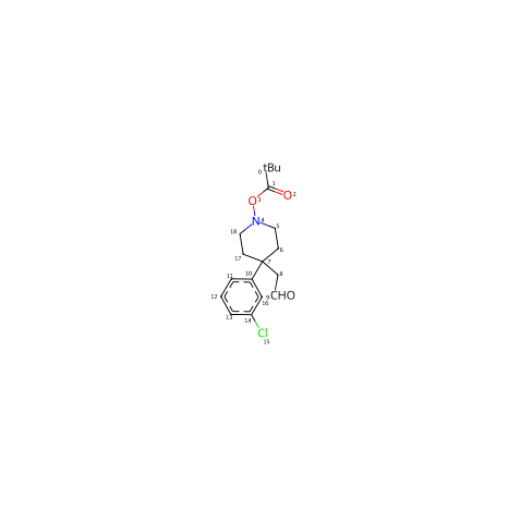 CC(C)(C)C(=O)ON1CCC(CC=O)(c2cccc(Cl)c2)CC1